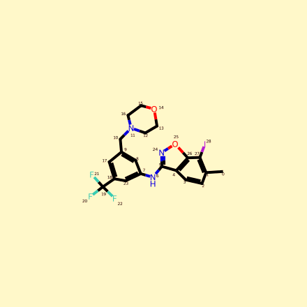 Cc1ccc2c(Nc3cc(CN4CCOCC4)cc(C(F)(F)F)c3)noc2c1I